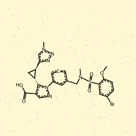 COc1ccc(Br)cc1S(=O)(=O)N(C)Cc1cccc(-n2ncc(C(=O)O)c2[C@@H]2C[C@H]2c2cn(C)nn2)c1